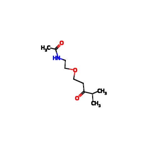 CC(=O)NCCOCCC(=O)C(C)C